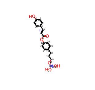 O=C(/C=C/c1ccc(O)cc1)Oc1ccc(CCCON(O)O)cc1